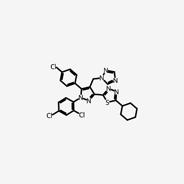 Clc1ccc(-c2c(Cn3cncn3)c(-c3nnc(C4CCCCC4)s3)nn2-c2ccc(Cl)cc2Cl)cc1